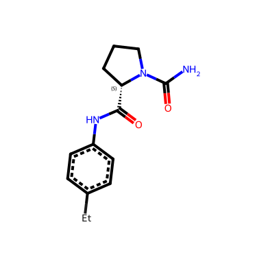 [CH2]Cc1ccc(NC(=O)[C@@H]2CCCN2C(N)=O)cc1